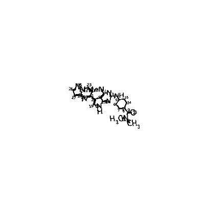 CNc1nc(NC2CCC(C(=O)N(C)C)CC2)nc2[nH]cc(-c3ccn4nccc4n3)c12